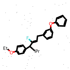 CCOc1ccc(C(C(F)=CCc2cccc(Oc3ccccc3)c2)C(C)C)cc1